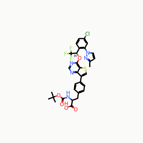 Cc1ccn(-c2cc(Cl)ccc2[C@@H](Oc2ncnc3c(-c4ccc(CC(NC(=O)OC(C)(C)C)C(=O)O)cc4)csc23)C(F)(F)F)n1